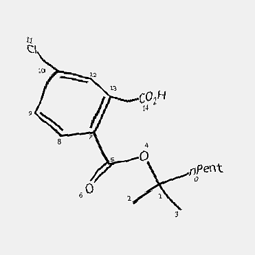 CCCCCC(C)(C)OC(=O)c1ccc(Cl)cc1C(=O)O